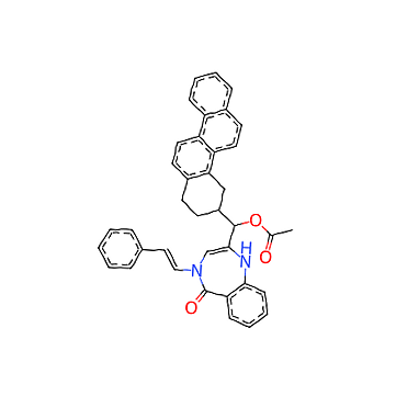 CC(=O)OC(C1=CN(C=Cc2ccccc2)C(=O)c2ccccc2N1)C1CCc2ccc3c(ccc4ccccc43)c2C1